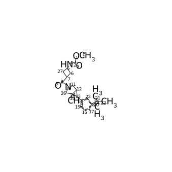 COC(=O)NC1CC(C(=O)N2CC3C(c4cccc(C(C)(C)C)c4)C3(C)C2)C1